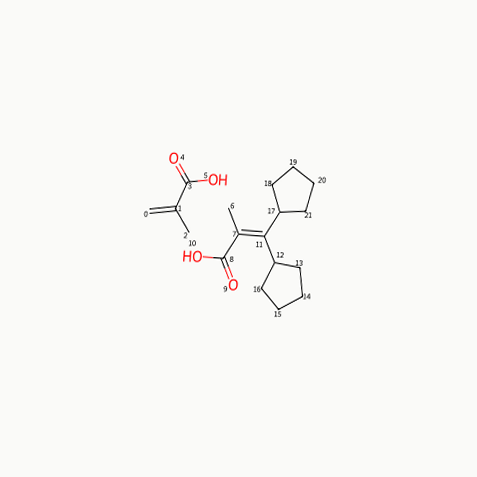 C=C(C)C(=O)O.CC(C(=O)O)=C(C1CCCC1)C1CCCC1